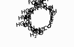 C[C@@]12CCCN1C(=O)[C@H](Cc1ccc(O)cc1)NC(=O)[C@H](Cc1c[nH]cn1)NC(=O)[C@H](CC(=O)O)NC(=O)[C@H](Cc1c[nH]c3ccc(F)cc13)NC(=O)[C@H](CCc1c[nH]c3ccc(F)cc13)NC(=O)CNC(=O)C1(CC1)NC(=O)CCSCc1cccc(c1)CSC[C@@H](C(N)=O)NC2=O